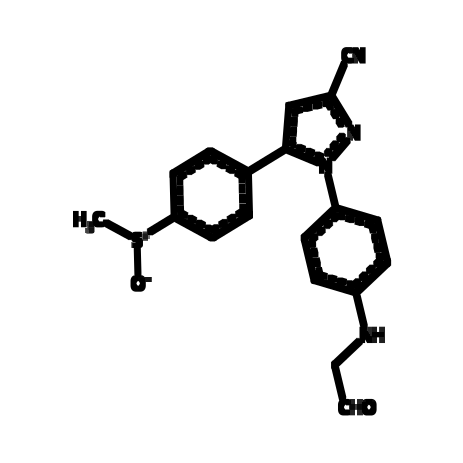 C[S+]([O-])c1ccc(-c2cc(C#N)nn2-c2ccc(NCC=O)cc2)cc1